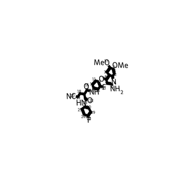 COc1cc2nc(N)cc(Oc3ccc(NC(=O)C(CCC#N)C(=O)Nc4ccc(F)cc4)cc3F)c2cc1OC